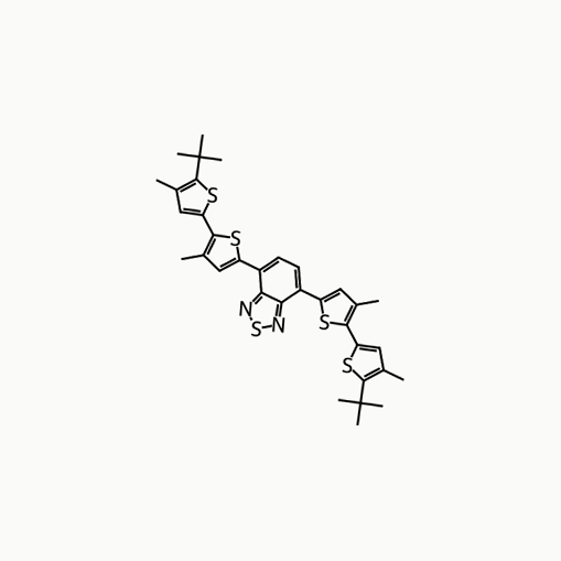 Cc1cc(-c2ccc(-c3cc(C)c(-c4cc(C)c(C(C)(C)C)s4)s3)c3nsnc23)sc1-c1cc(C)c(C(C)(C)C)s1